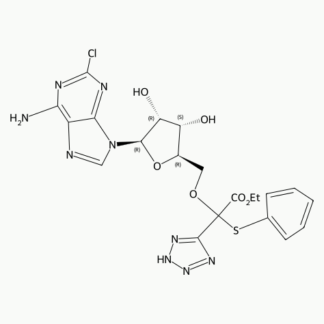 CCOC(=O)C(OC[C@H]1O[C@@H](n2cnc3c(N)nc(Cl)nc32)[C@H](O)[C@@H]1O)(Sc1ccccc1)c1nn[nH]n1